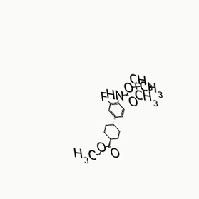 CCOC(=O)[C@H]1CC[C@H](c2ccc(NC(=O)OC(C)(C)C)c(F)c2)CC1